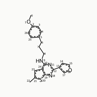 COc1ccc(CCCNc2nc(-c3ccoc3)nc3sc(C)cc23)cc1